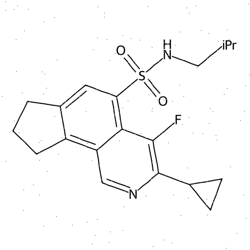 CC(C)CNS(=O)(=O)c1cc2c(c3cnc(C4CC4)c(F)c13)CCC2